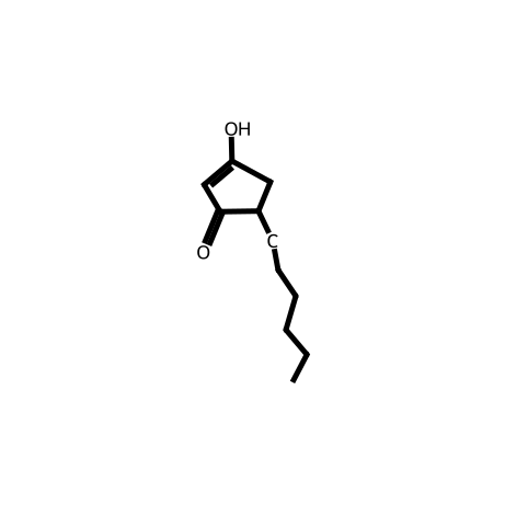 CCCCCCC1CC(O)=CC1=O